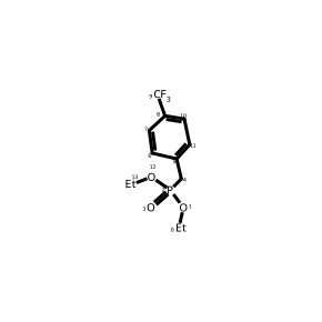 CCOP(=O)(Cc1ccc(C(F)(F)F)cc1)OCC